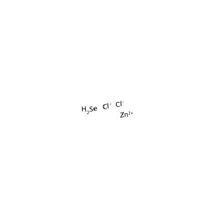 [Cl-].[Cl-].[SeH2].[Zn+2]